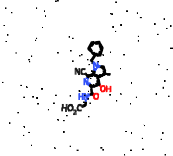 Cc1cn(Cc2ccccc2)c2c(C#N)nc(C(=O)NCC(=O)O)c(O)c12